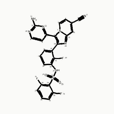 N#Cc1ccn2c(-c3ccnc(N)n3)c(-c3cccc(NS(=O)(=O)c4c(F)cccc4F)c3F)nc2c1